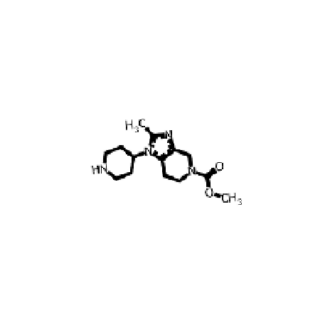 COC(=O)N1CCc2c(nc(C)n2C2CCNCC2)C1